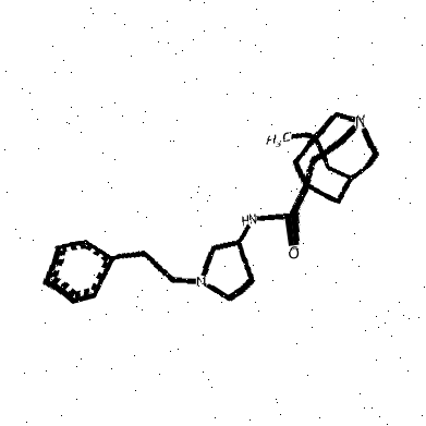 CC12CC3CN(C1)CC(C(=O)NC1CCN(CCc4ccccc4)C1)(C3)C2